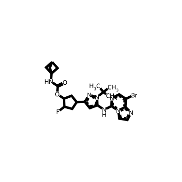 CC(C)(C)n1nc(C2CC(F)C(OC(=O)NC34CC(C3)C4)C2)cc1Nc1ncc(Br)c2nccn12